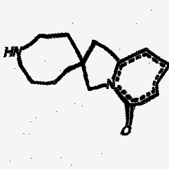 O=c1cccc2n1CC1(CCNCC1)C2